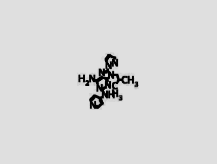 CC(C)Cn1c(-n2cccn2)nc2c(N)nc(Nc3ccncc3)nc21